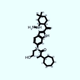 C=C(c1cc2ccc(N(CCO)C(=O)C(C)C3CCCCCC3)cc2[nH]1)C1CCC(C)(C)CC1NN